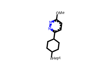 CCCCCCCC1CCC(c2ccc(OC)nn2)CC1